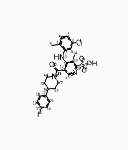 Cc1ccc(Cl)cc1Nc1c(C(=O)N2CCC(c3ccc(F)cc3)CC2)cnc(S(=O)(=O)O)c1C